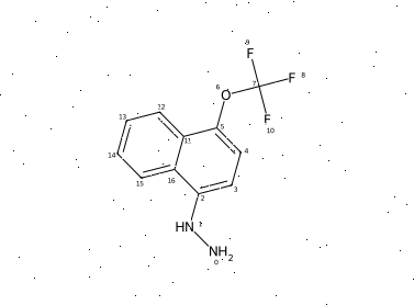 NNc1ccc(OC(F)(F)F)c2ccccc12